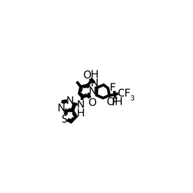 Cc1cc(Nc2ncnc3sccc23)c(=O)n2c1C(=O)NC21CCC(O)(C(F)(F)C(F)(F)F)CC1